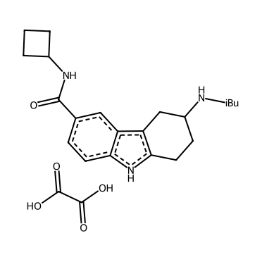 CCC(C)NC1CCc2[nH]c3ccc(C(=O)NC4CCC4)cc3c2C1.O=C(O)C(=O)O